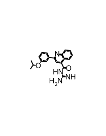 CC(C)Oc1cccc(-c2cc(C(=O)NC(=N)N)c3ccccc3n2)c1